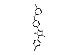 Cc1nc(-c2ccc(Oc3cccc(F)c3)cc2)[nH]c1-c1ccc(Cl)cc1